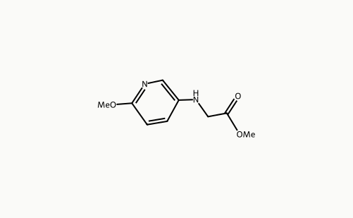 COC(=O)CNc1ccc(OC)nc1